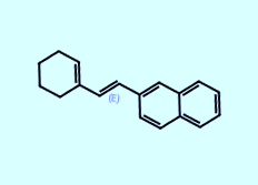 C1=C(/C=C/c2ccc3ccccc3c2)CCCC1